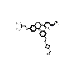 C=C(/C=C\C=C/C)[C@H]1CCc2cc(OCC(C)C)ccc2[C@H]1c1ccc(OC[C@H]2C[C@@H](CO)C2)cc1